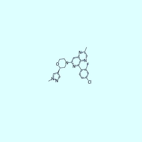 Cc1cnc2c(-c3ccc(Cl)cc3F)nc(N3CCO[C@H](c4cnn(C)c4)C3)cc2n1